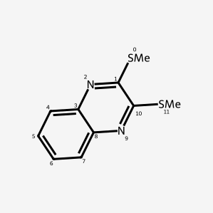 CSc1nc2ccccc2nc1SC